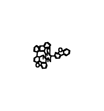 CC1c2c(oc3cccc(C4=NC(c5ccc6c(c5)oc5ccccc56)NC(c5cccc6ccccc56)=N4)c23)C=CC1c1ccccc1